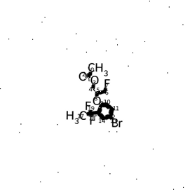 CC(=O)OC[C@H](CF)Oc1ccc(Br)cc1C(C)(F)F